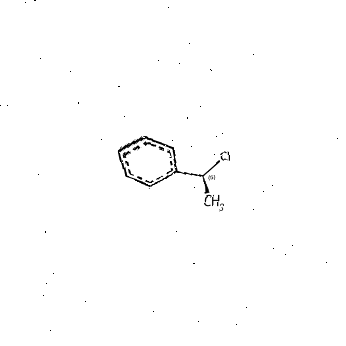 C[C@H](Cl)c1[c]cccc1